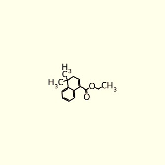 CCOC(=O)C1=CCC(C)(C)c2ccccc21